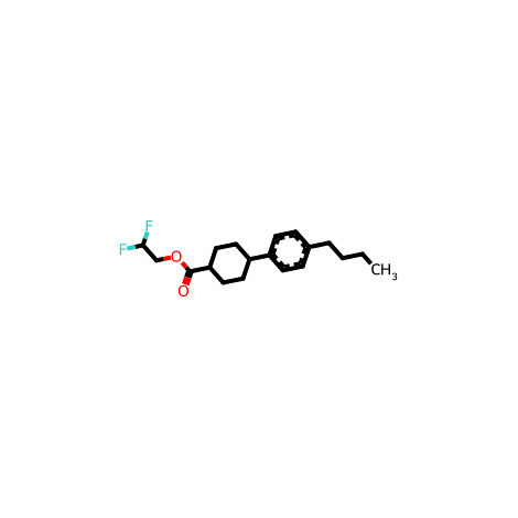 CCCCc1ccc(C2CCC(C(=O)OCC(F)F)CC2)cc1